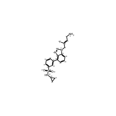 NC/C=C(\F)Cn1nnc2c(-c3cccc(S(=O)(=O)NC4CC4)c3)cccc21